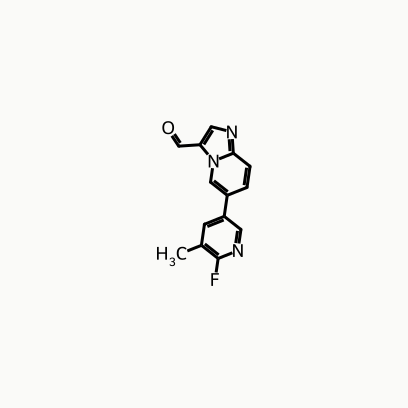 Cc1cc(-c2ccc3ncc(C=O)n3c2)cnc1F